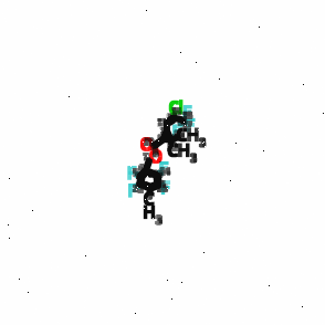 Cc1c(F)c(F)c(COC(=O)C2C(/C=C(/Cl)C(F)(F)F)C2(C)C)c(F)c1F